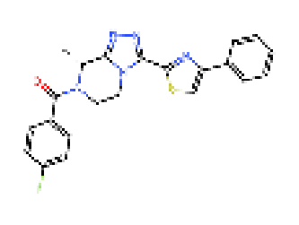 C[C@@H]1c2nnc(-c3nc(-c4ccccc4)cs3)n2CCN1C(=O)c1ccc(F)cc1